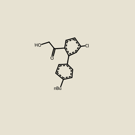 CCCCc1ccc(-c2cc(Cl)ccc2C(=O)CO)cc1